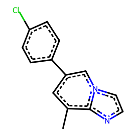 Cc1cc(-c2ccc(Cl)cc2)cn2ccnc12